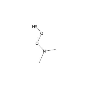 CN(C)OOS